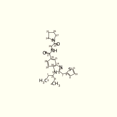 CCC(CC)n1c(Cc2cccs2)nc2cc(C(=O)NCC(=O)N3CCCC3)ccc21